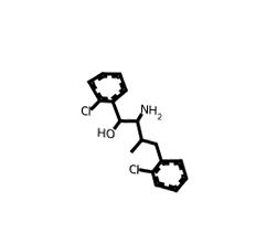 CC(Cc1ccccc1Cl)C(N)C(O)c1ccccc1Cl